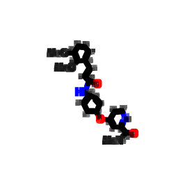 CNC(=O)c1cc(Oc2ccc(NC(=O)/C=C/c3cccc(OC)c3OC)cc2)ccn1